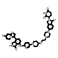 O=C1CCC(N2Cc3cc(N4CCN(CCOC5CCN(c6ccc(Nc7ccc(-c8cnc9cc(F)ccn89)c8c7C(=O)NC8)nc6)CC5)CC4)ccc3C2=O)C(=O)N1